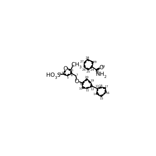 Cc1oc(S(=O)(=O)O)cc1COc1ccc(-c2ccccc2)cc1.NC(=O)c1ccccc1